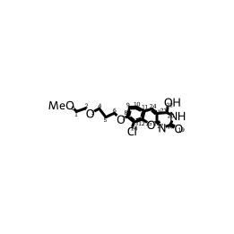 COCCOCCCOc1ccc2c(c1Cl)OC1=NC(=O)NC(O)C1=C2